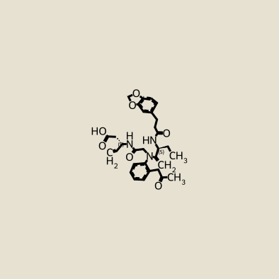 C=C[C@H](CC(=O)O)NC(=O)CN(C(=C)[C@H](CC)NC(=O)CCc1ccc2c(c1)OCO2)c1ccccc1CC(C)=O